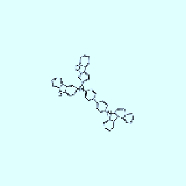 c1ccc2c(c1)ccc1c2c2ccccc2n1-c1ccc(-c2ccc(N(c3ccc4c(c3)oc3ccccc34)c3ccc4sc5ccccc5c4c3)cc2)cc1